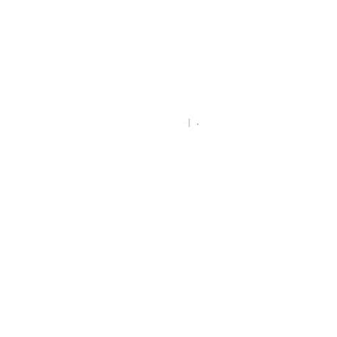 CNc1c2c(cc3c1CC1CC3C1)CCC2